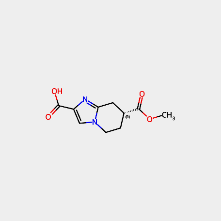 COC(=O)[C@@H]1CCn2cc(C(=O)O)nc2C1